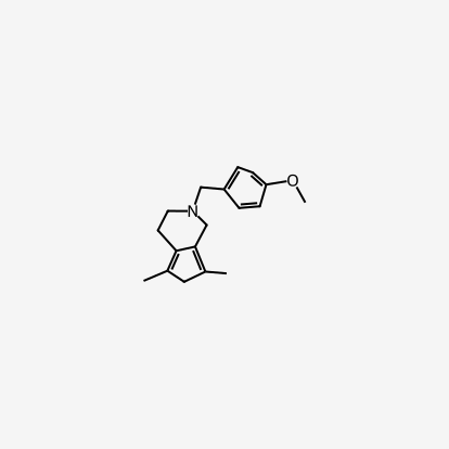 COc1ccc(CN2CCC3=C(C)CC(C)=C3C2)cc1